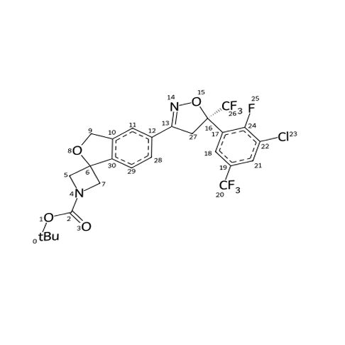 CC(C)(C)OC(=O)N1CC2(C1)OCc1cc(C3=NO[C@](c4cc(C(F)(F)F)cc(Cl)c4F)(C(F)(F)F)C3)ccc12